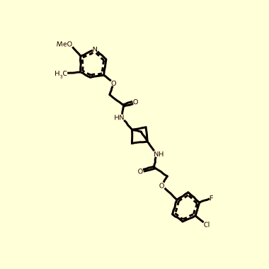 COc1ncc(OCC(=O)NC23CC(NC(=O)COc4ccc(Cl)c(F)c4)(C2)C3)cc1C